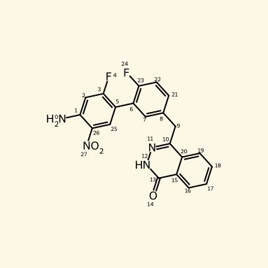 Nc1cc(F)c(-c2cc(Cc3n[nH]c(=O)c4ccccc34)ccc2F)cc1[N+](=O)[O-]